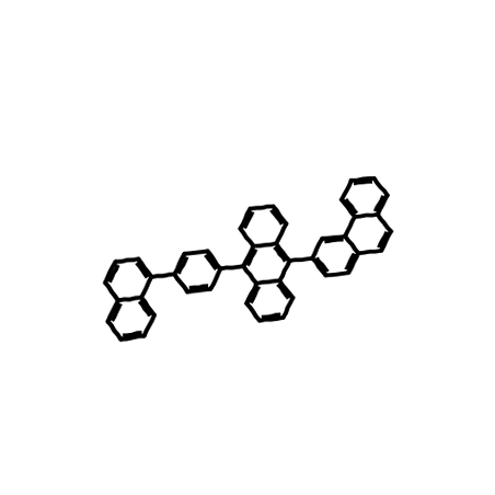 c1ccc2c(-c3ccc(-c4c5ccccc5c(-c5ccc6ccc7ccccc7c6c5)c5ccccc45)cc3)cccc2c1